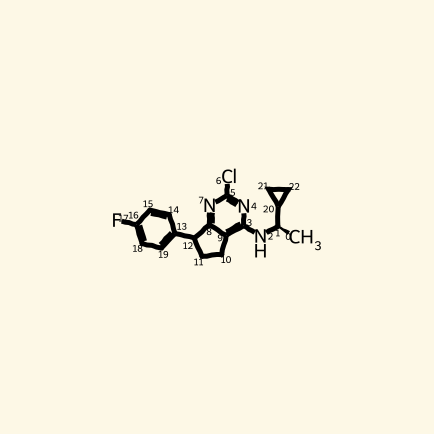 C[C@@H](Nc1nc(Cl)nc2c1CCC2c1ccc(F)cc1)C1CC1